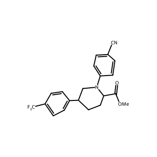 COC(=O)C1CCC(c2ccc(C(F)(F)F)cc2)CN1c1ccc(C#N)cc1